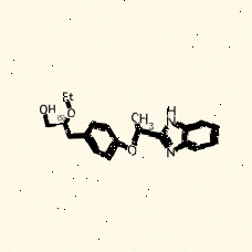 CCO[C@H](CO)Cc1ccc(OC(C)c2nc3ccccc3[nH]2)cc1